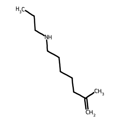 C=C(C)CCCCCNCCC